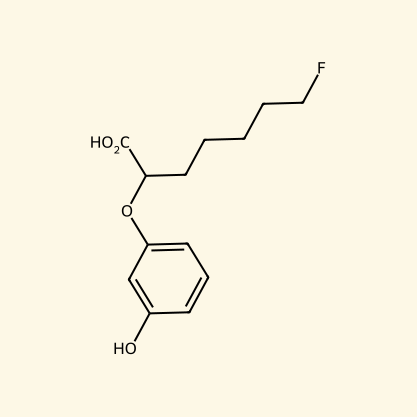 O=C(O)C(CCCCCF)Oc1cccc(O)c1